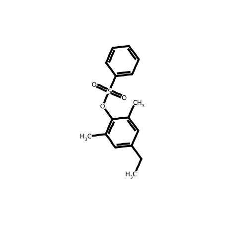 CCc1cc(C)c(OS(=O)(=O)c2ccccc2)c(C)c1